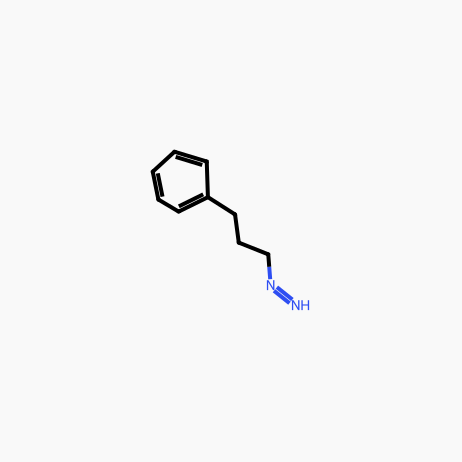 N=NCCCc1ccccc1